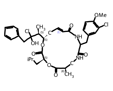 COc1ccc(CC2NC(=O)/C=C/C[C@@H]([C@H](C)C(O)(Cl)Cc3ccccc3)OC(=O)[C@H](CC(C)C)OC(=O)[C@H](C)CNC2=O)cc1Cl